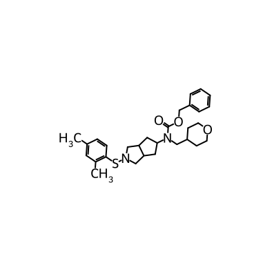 Cc1ccc(SN2CC3CC(N(CC4CCOCC4)C(=O)OCc4ccccc4)CC3C2)c(C)c1